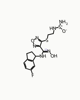 N[S+]([O-])NCCSc1nonc1/C(=N/O)NC1CCc2ccc(F)cc21